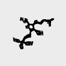 B[C@@H]1O[C@H](/C=C/P(=O)(O)O)[C@H](O)C1OCCN(C)C